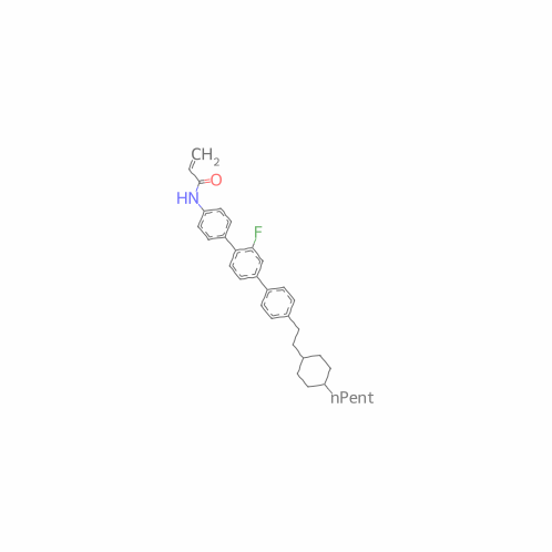 C=CC(=O)Nc1ccc(-c2ccc(-c3ccc(CCC4CCC(CCCCC)CC4)cc3)cc2F)cc1